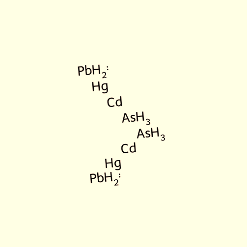 [AsH3].[AsH3].[Cd].[Cd].[Hg].[Hg].[PbH2].[PbH2]